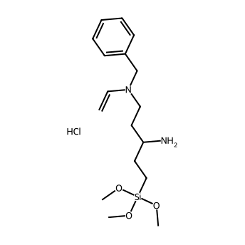 C=CN(CCC(N)CC[Si](OC)(OC)OC)Cc1ccccc1.Cl